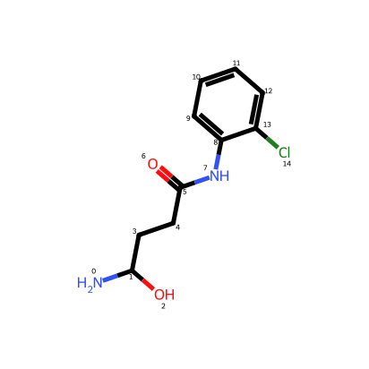 NC(O)CCC(=O)Nc1ccccc1Cl